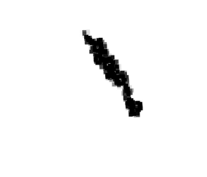 C=CC(=O)OCCCCSc1ccc(C(=O)Oc2ccc(C(=O)Oc3ccc(C#CC)cc3)cc2)cc1